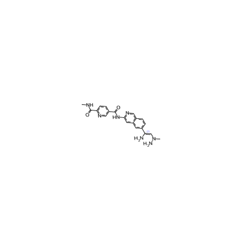 CNC(=O)c1ccc(C(=O)Nc2cc3cc(/C(N)=C/N(C)N)ccc3cn2)cn1